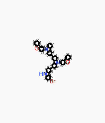 Brc1ccc2[nH]c3ccc(-c4ccc5c(c4)c4cc(-c6ccc7c(c6)c6ccccc6n7-c6ccc7oc8ccccc8c7c6)ccc4n5-c4ccc5oc6ccccc6c5c4)cc3c2c1